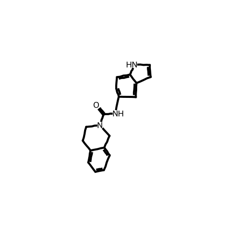 O=C(Nc1ccc2[nH]ccc2c1)N1CCc2ccccc2C1